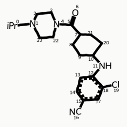 CC(C)N1CCN(C(=O)C2CCC(Nc3ccc(C#N)cc3Cl)CC2)CC1